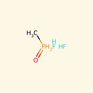 C[PH2]=O.F.F